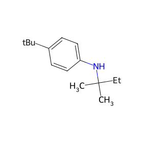 CCC(C)(C)Nc1ccc(C(C)(C)C)cc1